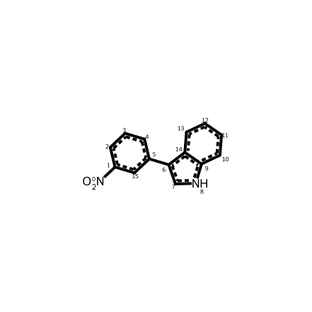 O=[N+]([O-])c1cccc(-c2c[nH]c3ccccc23)c1